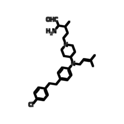 CC(C)=CCN(c1ccc(CCc2ccc(Cl)cc2)cc1)C1CCN(CCC(C)C(N)C=O)CC1